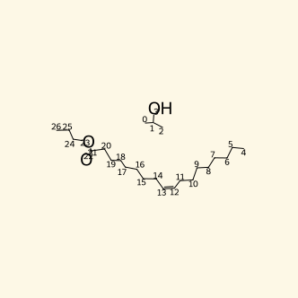 CC(C)O.CCCCCCCC/C=C\CCCCCCCC(=O)OCCC